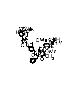 CC[C@H](C)[C@@H]([C@@H](CC(=O)N1CCC[C@H]1[C@H](OC)[C@@H](C)C(=O)N[C@@H](Cc1ccccc1)C(=O)Nc1ccc(CNN2C(=O)C=C(C3C[C@H]4C[C@@H]3N(C(=O)OC(C)(C)C)[C@@H]4C(=O)O)C2=O)cc1)OC)N(C)C(=O)[C@@H](N)C(C)C